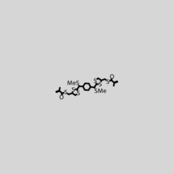 C=C(C)C(=O)SCC1CSC(C(SC)C2CCC(C(SC)C3SCC(CSC(=O)C(=C)C)S3)CC2)S1